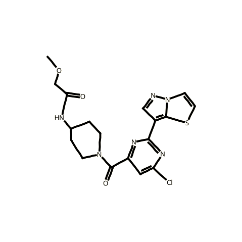 COCC(=O)NC1CCN(C(=O)c2cc(Cl)nc(-c3cnn4ccsc34)n2)CC1